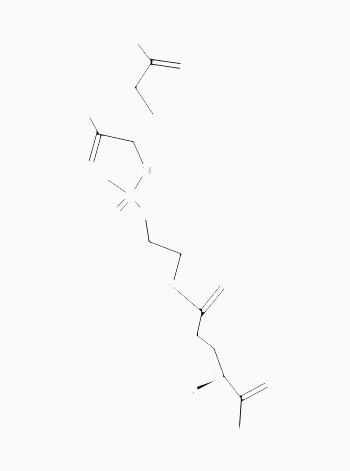 N[C@@H](CCC(=O)NCCOP(=O)(O)N[C@@H](CCC(=O)O)C(=O)O)C(=O)O